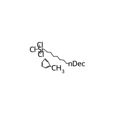 CCCCCCCCCCCCCCCCCC[Si](Cl)(Cl)Cl.Cc1ccccc1